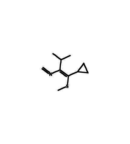 C=N/C(=C(\SC)C1CC1)C(C)C